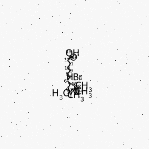 Br.CC1(C)CC(CCCCCCCC(=O)O)CC(C)(C)N1